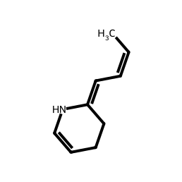 C/C=C\C=C1/CCC=CN1